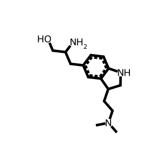 CN(C)CCC1CNc2ccc(CC(N)CO)cc21